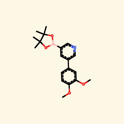 COc1ccc(-c2cncc(B3OC(C)(C)C(C)(C)O3)c2)cc1OC